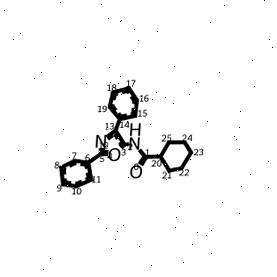 O=C(Nc1oc(-c2ccccc2)nc1-c1ccccc1)C1CCCCC1